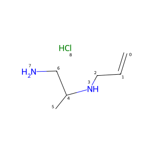 C=CCNC(C)CN.Cl